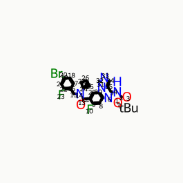 CC(C)(C)OC(=O)Nc1nc2cc(F)c(C(=O)N(Cc3ccc(Br)cc3F)C34CC(C3)C4)cc2n2cncc12